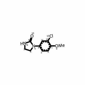 COc1ccc(N2CCNC2=O)cc1Cl